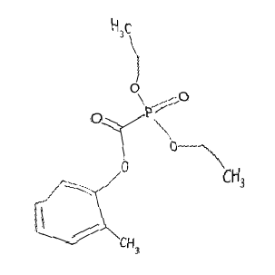 CCOP(=O)(OCC)C(=O)Oc1ccccc1C